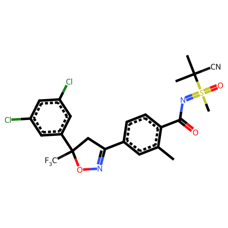 Cc1cc(C2=NOC(c3cc(Cl)cc(Cl)c3)(C(F)(F)F)C2)ccc1C(=O)N=S(C)(=O)C(C)(C)C#N